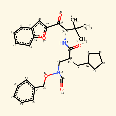 CC(C)(C)[C@H](NC(=O)[C@H](CC1CCCC1)CN(C=O)OCc1ccccc1)C(=O)c1cc2ccccc2o1